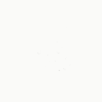 COc1cccc2c(NCCCCCO)ccnc12.O=[N+]([O-])O